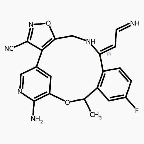 CC1Oc2cc(cnc2N)-c2c(C#N)noc2CN/C(=C\C=N)c2ccc(F)cc21